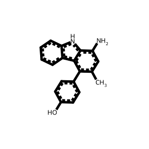 Cc1cc(N)c2[nH]c3ccccc3c2c1-c1ccc(O)cc1